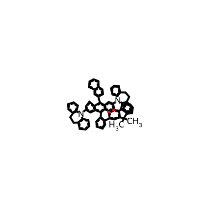 CC1(C)c2ccccc2-c2ccc(-c3ccccc3-c3c4ccc(N5c6ccccc6CCc6ccccc65)cc4c(-c4ccc5ccccc5c4)c4ccc(N5c6ccccc6CCc6ccccc65)cc34)cc21